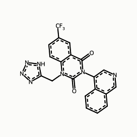 O=c1c2cc(C(F)(F)F)ccc2n(Cc2nnn[nH]2)c(=O)n1-c1cncc2ccccc12